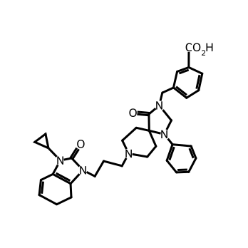 O=C(O)c1cccc(CN2CN(c3ccccc3)C3(CCN(CCCn4c5c(n(C6CC6)c4=O)C=CCC5)CC3)C2=O)c1